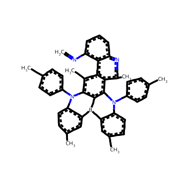 C=Nc1cccc2nc(C)c3c4c5c(c(C)c3c12)N(c1ccc(C)cc1)c1ccc(C)cc1B5c1cc(C)ccc1N4c1ccc(C)cc1